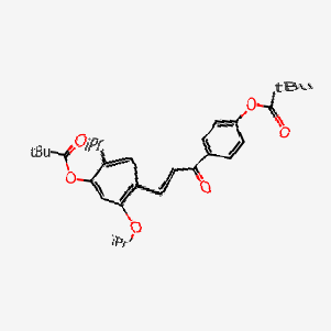 CC(C)Oc1cc(OC(=O)C(C)(C)C)c(C(C)C)cc1C=CC(=O)c1ccc(OC(=O)C(C)(C)C)cc1